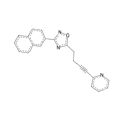 C(#Cc1ccccn1)CCc1nc(-c2ccc3ccccc3c2)no1